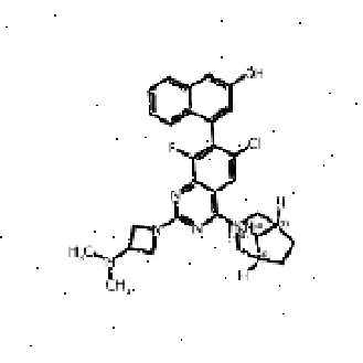 CN(C)C1CN(c2nc(N3C[C@H]4CC[C@@H](C3)[C@@H]4N)c3cc(Cl)c(-c4cc(O)cc5ccccc45)c(F)c3n2)C1